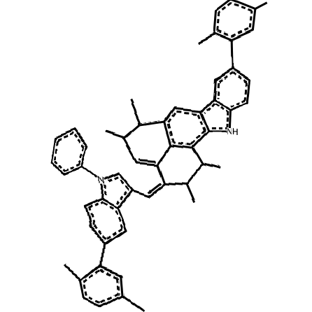 Cc1ccc(C)c(-c2ccc3c(c2)c(/C=C2\C4=CC(C)C(C)c5cc6c([nH]c7ccc(-c8cc(C)ccc8C)cc76)c(c54)C(C)C2C)cn3-c2ccccc2)c1